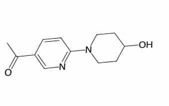 CC(=O)c1ccc(N2CCC(O)CC2)nc1